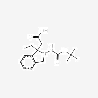 CCC1(CC(=O)O)c2ccccc2CN1NC(=O)OC(C)(C)C